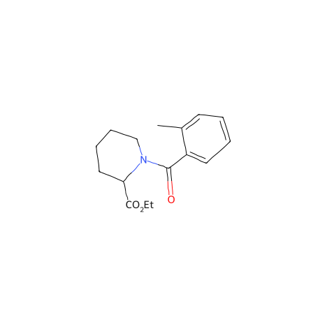 CCOC(=O)C1CCCCN1C(=O)c1ccccc1C